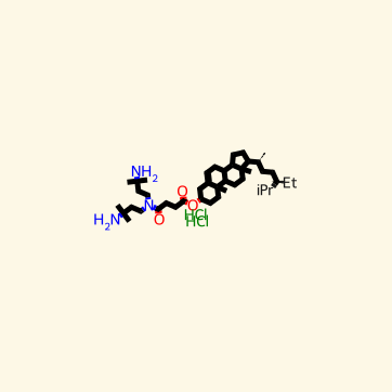 CC[C@H](CC[C@@H](C)C1CCC2C3CC=C4CC(OC(=O)CCC(=O)N(CCC(C)(C)N)CCC(C)(C)N)CCC4(C)C3CCC21C)C(C)C.Cl.Cl